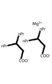 CCCC(CCC)CC(=O)[O-].CCCC(CCC)CC(=O)[O-].[Mg+2]